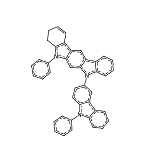 C1=Cc2c(n(-c3ccccc3)c3cc4c(cc23)c2ccccc2n4-c2ccc3c(c2)c2ccccc2n3-c2ccccc2)CC1